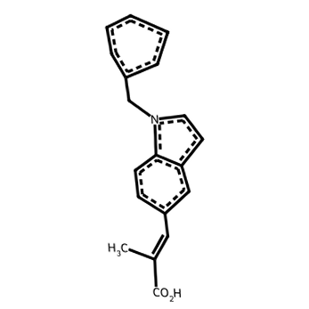 CC(=Cc1ccc2c(ccn2Cc2ccccc2)c1)C(=O)O